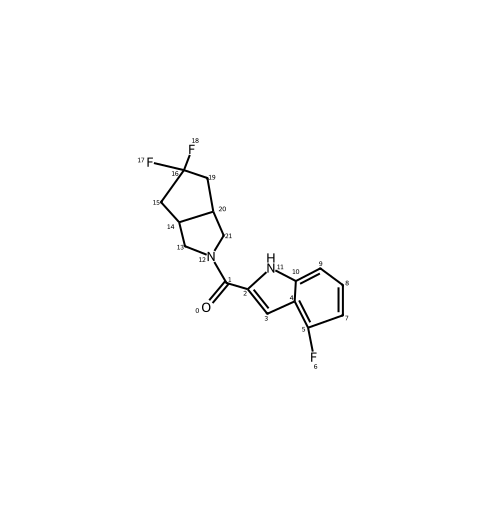 O=C(c1cc2c(F)cccc2[nH]1)N1CC2CC(F)(F)CC2C1